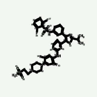 CC(C)c1nc(-c2cccc(NS(=O)(=O)c3c(F)cccc3F)c2)c(-c2ccnc(Nc3cc(F)c(N4CCN(CCS(C)(=O)=O)CC4)cc3F)n2)s1